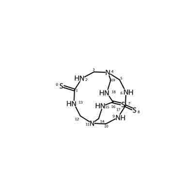 S=C1NCN2CNC(=S)NCN(CN1)CNC(=S)NC2